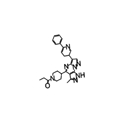 CCC(=O)N1CCC(c2nc3c(C4C=NC(c5ccccc5)=CC4)cnn3c3[nH]nc(C)c23)CC1